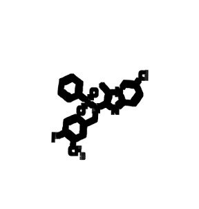 Cc1c(N(Cc2ccc(F)c(C(F)(F)F)c2)S(=O)(=O)c2ccccc2)nc2ccc(Cl)cn12